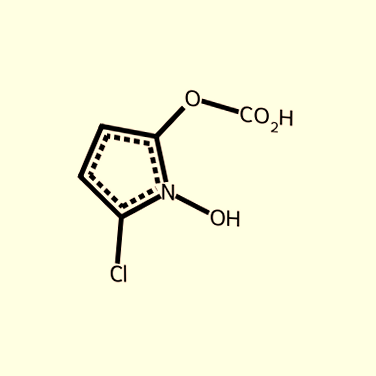 O=C(O)Oc1ccc(Cl)n1O